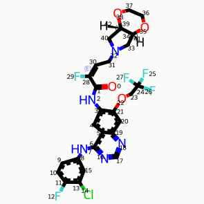 O=C(Nc1cc2c(Nc3ccc(F)c(Cl)c3)ncnc2cc1OCC(F)(F)F)/C(F)=C\CN1C[C@@H]2OCCO[C@H]2C1